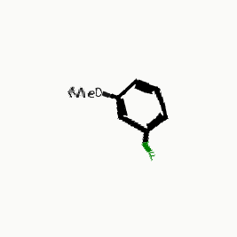 COc1[c]ccc(F)c1